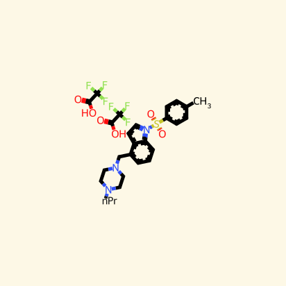 CCCN1CCN(Cc2cccc3c2ccn3S(=O)(=O)c2ccc(C)cc2)CC1.O=C(O)C(F)(F)F.O=C(O)C(F)(F)F